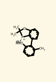 COc1cccc(C)c1-c1cccc2c1[P@](C(C)(C)C)C(C)(C)O2